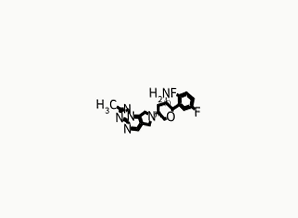 Cc1nc2ncc3c(n2n1)CN([C@H]1COC(c2cc(F)ccc2F)[C@@H](N)C1)C3